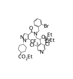 CCOC(=O)[C@H]1CC[C@H](n2ncc(C(=O)N(Cc3ccccc3Br)CC(O[Si](CC)(CC)CC)c3c(Cl)cncc3Cl)c2C(F)(F)F)CC1